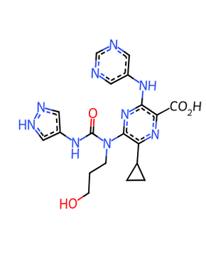 O=C(O)c1nc(C2CC2)c(N(CCCO)C(=O)Nc2cn[nH]c2)nc1Nc1cncnc1